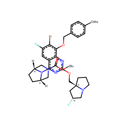 COc1ccc(COc2c(Br)c(F)cc3c(N4[C@@H]5CC[C@H]4CN(C(=O)OC(C)(C)C)C5)nc(OC[C@@]45CCCN4C[C@H](F)C5)nc23)cc1